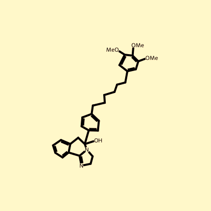 COc1cc(CCCCCCc2ccc(C3(O)Cc4ccccc4C4=NCCN43)cc2)cc(OC)c1OC